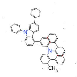 CC1CC=CC(N(c2cccc(-c3cccc4c3c3ccc(-c5ccccc5)cc3n4-c3ccccc3)c2)c2ccccc2-c2ccccc2)=C1c1ccccc1